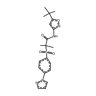 CC(C)(C)c1cc(NC(=O)C(C)(C)S(=O)(=O)c2ccc(-n3cccn3)cc2)no1